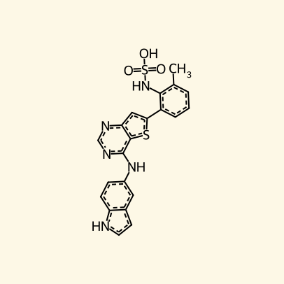 Cc1cccc(-c2cc3ncnc(Nc4ccc5[nH]ccc5c4)c3s2)c1NS(=O)(=O)O